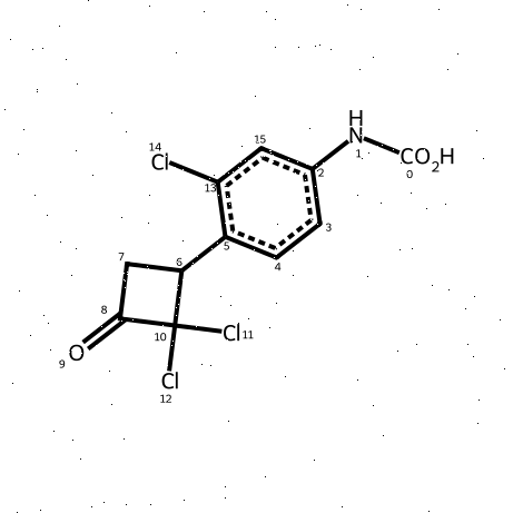 O=C(O)Nc1ccc(C2CC(=O)C2(Cl)Cl)c(Cl)c1